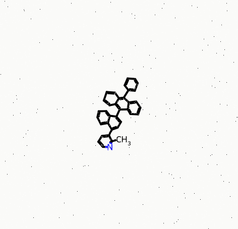 Cc1ncccc1-c1ccc(-c2c3ccccc3c(-c3ccccc3)c3ccccc23)c2ccccc12